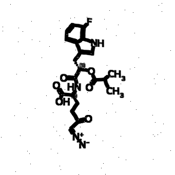 CC(C)C(=O)O[C@@H](Cc1c[nH]c2c(F)cccc12)C(=O)N[C@@H](CCC(=O)C=[N+]=[N-])C(=O)O